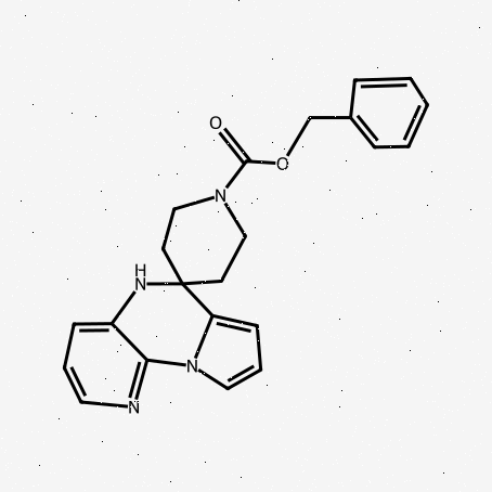 O=C(OCc1ccccc1)N1CCC2(CC1)Nc1cccnc1-n1cccc12